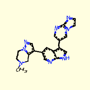 CN1CCn2ncc(-c3cnc4[nH]cc(-c5cnc6nccn6c5)c4c3)c2C1